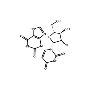 O=c1[nH]c(=O)c2[nH]cnc2[nH]1.O=c1ccn([C@@H]2O[C@H](CO)[C@@H](O)[C@H]2O)c(=O)[nH]1